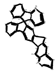 c1ccc2c(c1)-c1cc3c(cc1C21c2ccccc2-c2ncccc21)Cc1cc2cccnc2cc1-3